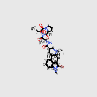 CC(C)C[C@H]1C(=O)N2CCC[C@H]2[C@]2(O)O[C@](NC(=O)[C@@H]3C[C@@H]4c5cccc6c5c(c(Br)n6C)C[C@H]4N(C(F)(F)F)C3)(C(C)C)C(=O)N12